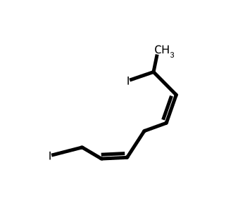 CC(I)/C=C\C/C=C\CI